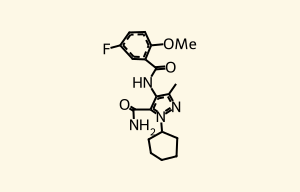 COc1ccc(F)cc1C(=O)Nc1c(C)nn(C2CCCCC2)c1C(N)=O